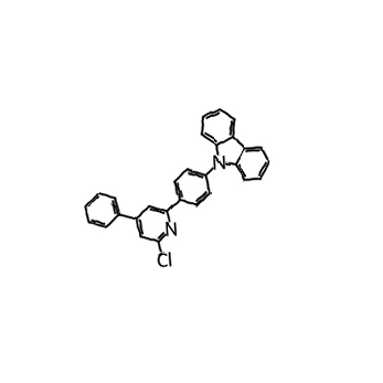 Clc1cc(-c2ccccc2)cc(-c2ccc(-n3c4ccccc4c4ccccc43)cc2)n1